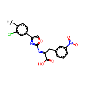 Cc1ccc(-c2coc(/N=C(\Cc3cccc([N+](=O)[O-])c3)C(=O)O)n2)cc1Cl